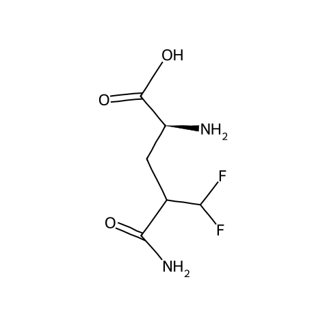 NC(=O)C(C[C@H](N)C(=O)O)C(F)F